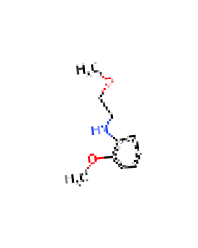 COCCNc1ccccc1OC